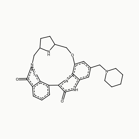 O=c1[nH]c2cc(CN3CCCCC3)cc3c2nc1-c1cccc2c(=O)n(sc12)CC1CCC(CO3)N1